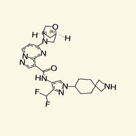 O=C(Nc1cn(C2CCC3(CC2)CNC3)nc1C(F)F)c1cnn2ccc(N3C[C@H]4C[C@@H]3CO4)nc12